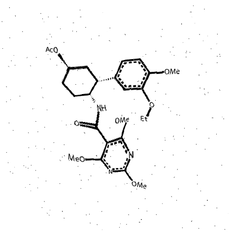 CCOc1cc([C@H]2C[C@H](OC(C)=O)CC[C@H]2NC(=O)c2c(OC)nc(OC)nc2OC)ccc1OC